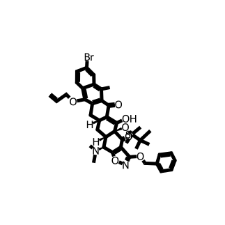 C=CCOc1c2c(c(C)c3cc(Br)ccc13)C(=O)C1=C(O)[C@]3(O[Si](C)(C)C(C)(C)C)C(=O)c4c(OCc5ccccc5)noc4[C@@H](N(C)C)[C@@H]3C[C@@H]1C2